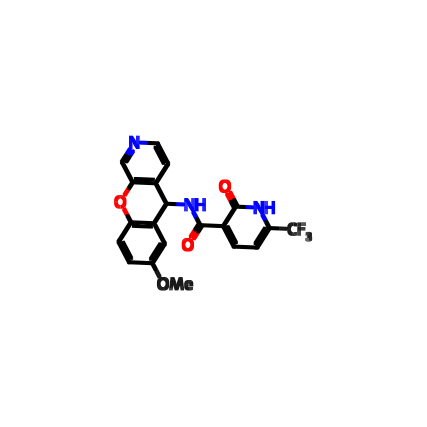 COc1ccc2c(c1)C(NC(=O)c1ccc(C(F)(F)F)[nH]c1=O)c1ccncc1O2